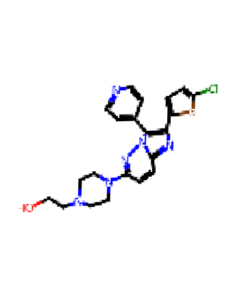 OCCN1CCN(c2ccc3nc(-c4ccc(Cl)s4)c(-c4ccncc4)n3n2)CC1